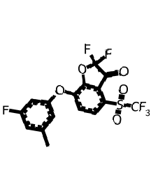 Cc1cc(F)cc(Oc2ccc(S(=O)(=O)C(F)(F)F)c3c2OC(F)(F)C3=O)c1